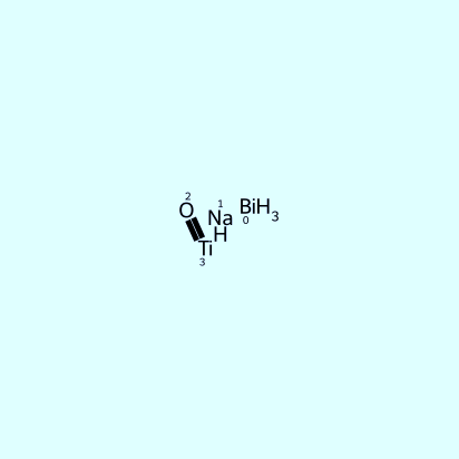 [BiH3].[NaH].[O]=[Ti]